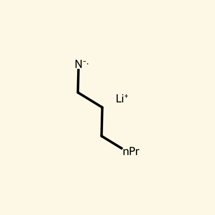 CCCCCC[N-].[Li+]